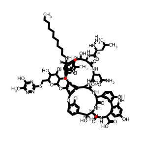 CCCCCCCCCCNC1(I)CC(OC2C(Oc3c4cc5cc3Oc3ccc(cc3Cl)[C@@H](O)[C@@H]3NC(=O)C(NC(=O)C5NC(=O)C(CC(N)=O)NC(=O)C(NC(=O)[C@H](CC(C)C)NC)C(O)c5ccc(c(Cl)c5)O4)c4ccc(O)c(c4)-c4c(O)cc(O)cc4C(C(=O)O)NC3=O)OC(CSc3nnc(C)c(O)n3)C(O)C2O)OC(C)C1O